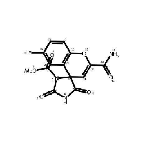 COC(=O)N1C(=O)NC(=O)C12C=C(C(N)=O)Oc1ccc(F)cc12